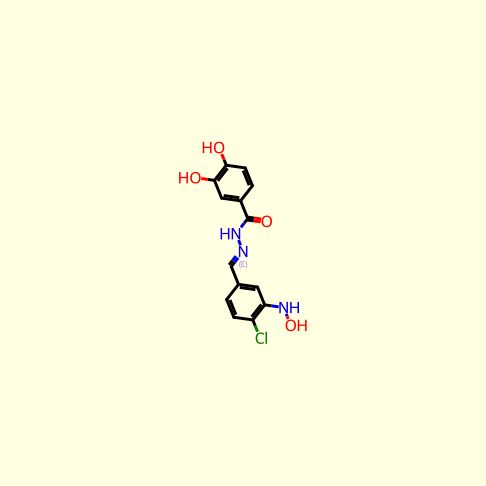 O=C(N/N=C/c1ccc(Cl)c(NO)c1)c1ccc(O)c(O)c1